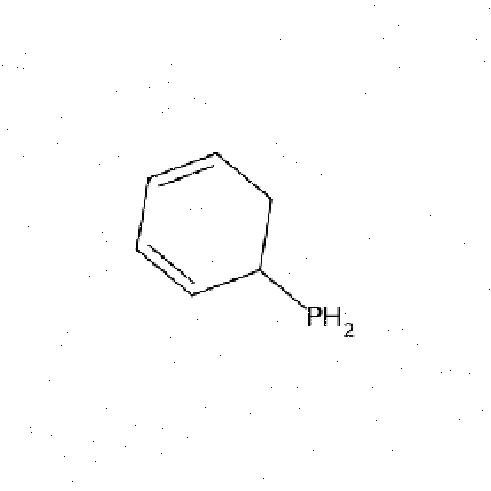 PC1C=CC=CC1